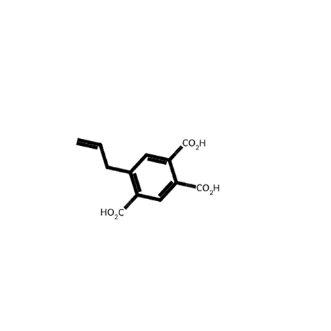 C=CCc1cc(C(=O)O)c(C(=O)O)cc1C(=O)O